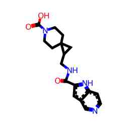 O=C(NCC1CC12CCN(C(=O)O)CC2)c1cc2cnccc2[nH]1